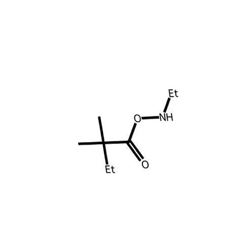 CCNOC(=O)C(C)(C)CC